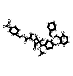 CC(=O)OC(c1ccc2c(c1)N(Cc1ccccc1)CC1=C(C=CCC1=O)O2)C1(Br)C(=O)N2C(C(=O)OCc3ccc([N+](=O)[O-])cc3)=CSC21